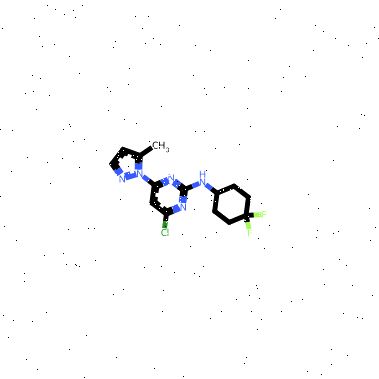 Cc1ccnn1-c1cc(Cl)nc(NC2CCC(F)(F)CC2)n1